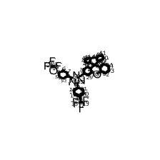 FC(F)(F)Oc1ccc(-c2nc(-c3ccc(C(F)(F)F)cc3)nc(-c3ccc4c(c3)Oc3ccccc3C43c4ccccc4-c4ccccc43)n2)cc1